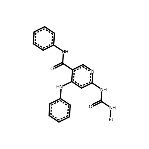 CCNC(=O)Nc1cc(Nc2ccccc2)c(C(=O)Nc2ccccc2)cn1